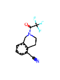 N#Cc1cccc2c1CCN(C(=O)C(F)(F)F)C2